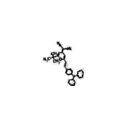 CC(C)(C)C1=CC(=C(C#N)C#N)C=C(/C=C/c2ccc(N(c3ccccc3)c3ccccc3)cc2)O1